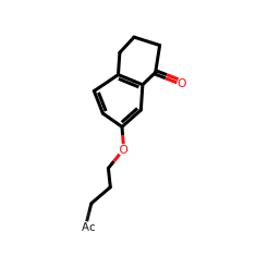 CC(=O)CCCOc1ccc2c(c1)C(=O)CCC2